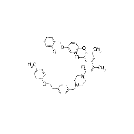 C/C(=C/C(=O)N1CCN(Cc2ccc(CCOc3ccc(C)cc3)cc2)CC1)c1cc(C)c(Oc2ccc(OCc3ccccc3Cl)cn2)c(Cl)c1